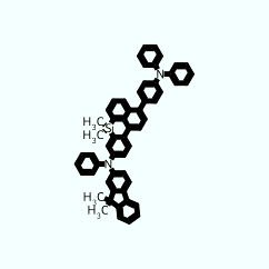 CC1(C)c2ccccc2-c2ccc(N(c3ccccc3)c3ccc4c(c3)[Si](C)(C)c3cccc5c(-c6ccc(N(c7ccccc7)c7ccccc7)cc6)ccc-4c35)cc21